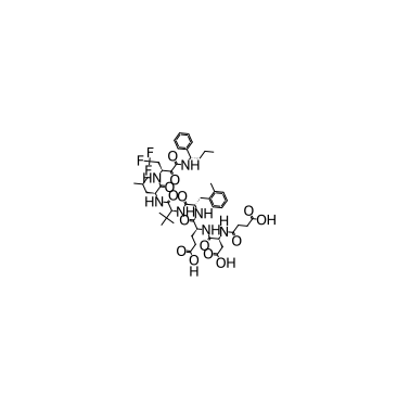 CCC[C@H](NC(=O)C(=O)[C@H](CC(F)(F)F)NC(=O)[C@H](CC(C)C)NC(=O)[C@@H](NC(=O)[C@H](Cc1ccccc1C)NC(=O)[C@H](CCC(=O)O)NC(=O)[C@H](CC(=O)O)NC(=O)CCC(=O)O)C(C)(C)C)c1ccccc1